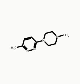 Cc1ccc(N2CCN(C)CC2)nn1